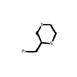 CC(C)CC1CSCCS1